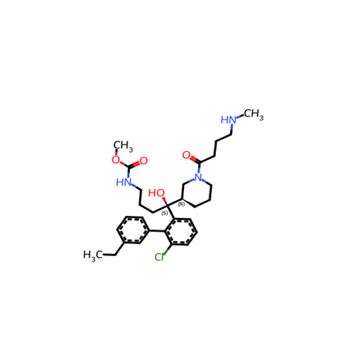 CCc1cccc(-c2c(Cl)cccc2[C@](O)(CCCNC(=O)OC)[C@@H]2CCCN(C(=O)CCCNC)C2)c1